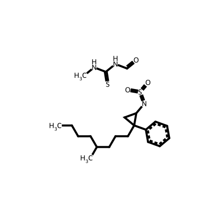 CCCCC(C)CCCC1(c2ccccc2)CC1N=S(=O)=O.CNC(=S)NC=O